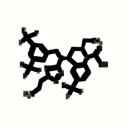 CC[C@@H]1C[C@H](N(Cc2cc(C(F)(F)F)cc(C(F)(F)F)c2)c2nnn(CCN)n2)c2cc(C(F)(F)F)ccc2N1C(=O)O